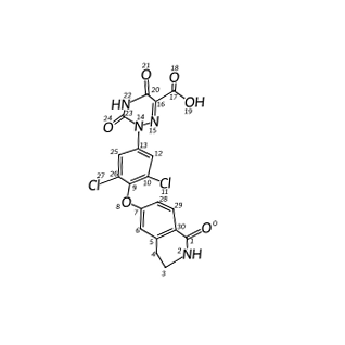 O=C1NCCc2cc(Oc3c(Cl)cc(-n4nc(C(=O)O)c(=O)[nH]c4=O)cc3Cl)ccc21